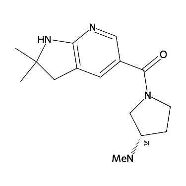 CN[C@H]1CCN(C(=O)c2cnc3c(c2)CC(C)(C)N3)C1